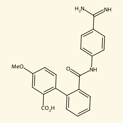 COc1ccc(-c2ccccc2C(=O)Nc2ccc(C(=N)N)cc2)c(C(=O)O)c1